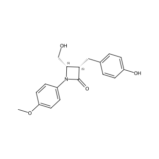 COc1ccc(N2C(=O)[C@@H](Cc3ccc(O)cc3)[C@H]2CO)cc1